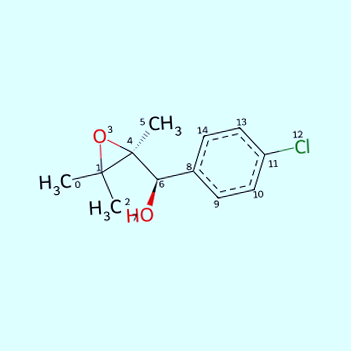 CC1(C)O[C@@]1(C)[C@H](O)c1ccc(Cl)cc1